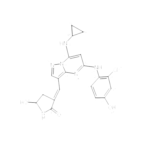 O=C1NC(O)C/C1=C\c1cnn2c(NC3CC3)cc(Nc3ccc(O)cc3Cl)nc12